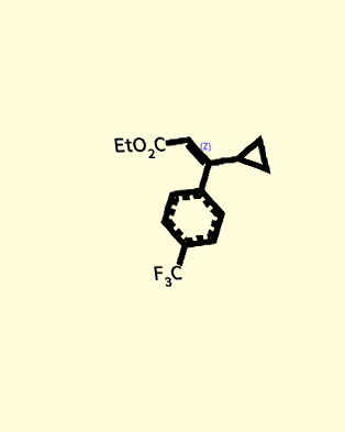 CCOC(=O)/C=C(\c1ccc(C(F)(F)F)cc1)C1CC1